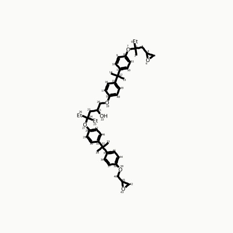 CCC(C)(CC1CO1)Oc1ccc(C(C)(C)c2ccc(OCC(O)CC(CC)(CC)Oc3ccc(C(C)(C)c4ccc(OCC5CO5)cc4)cc3)cc2)cc1